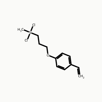 C=Cc1ccc(OCCC[Si](C)(Cl)Cl)cc1